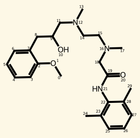 COc1ccccc1CC(O)CN(C)CCN(C)CC(=O)Nc1c(C)cccc1C